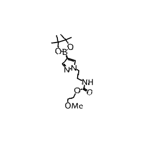 COCCOC(=O)NCCn1cc(B2OC(C)(C)C(C)(C)O2)cn1